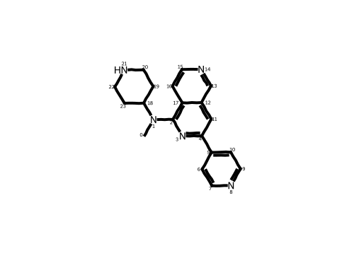 CN(c1nc(-c2ccncc2)cc2cnccc12)C1CCNCC1